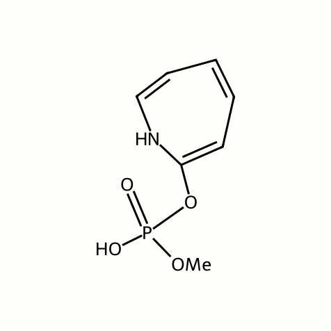 COP(=O)(O)OC1=CC=CC=CN1